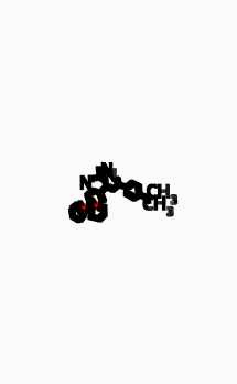 CC(C)c1ccc(-c2cc(-c3ccc(N4CC5CC(C4)N5Cc4ccccc4)nc3)c3c(C#N)cnn3c2)cc1